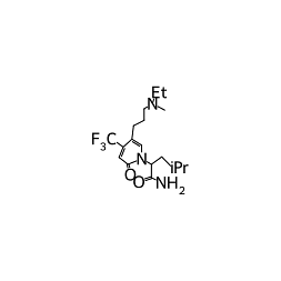 CCN(C)CCCc1cn(C(CC(C)C)C(N)=O)c(=O)cc1C(F)(F)F